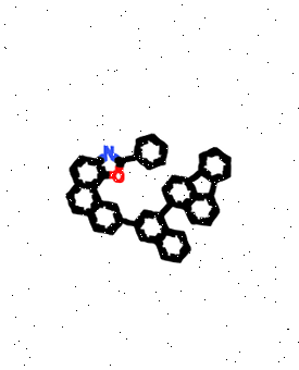 c1ccc(-c2nc3ccc4ccc5ccc(-c6cc(-c7ccc8c9c(cccc79)-c7ccccc7-8)c7ccccc7c6)cc5c4c3o2)cc1